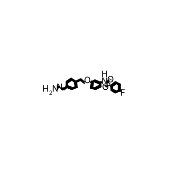 NN=Cc1ccc(CCOc2cccc(NS(=O)(=O)c3ccc(F)cc3)c2)cc1